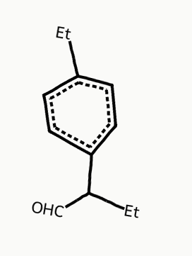 CCc1ccc(C(C=O)CC)cc1